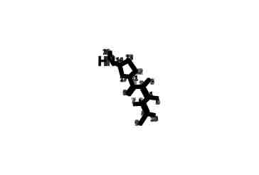 C=C(/C(C)=C(/C)C(C)=C(C)C)C1CCC(NC)C1